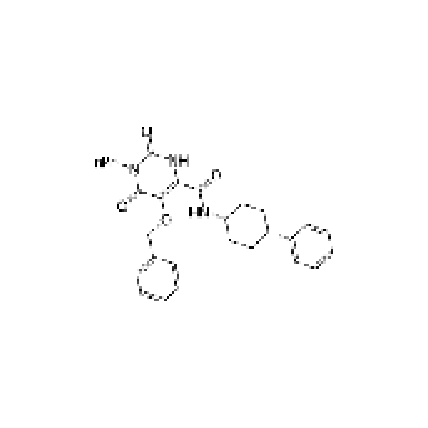 CCCn1c(=O)[nH]c(C(=O)N[C@H]2CC[C@@H](c3ccccc3)CC2)c(OCc2ccccc2)c1=O